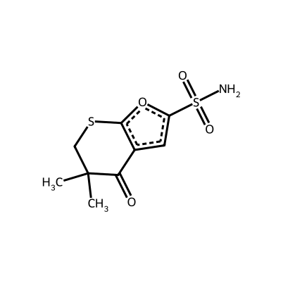 CC1(C)CSc2oc(S(N)(=O)=O)cc2C1=O